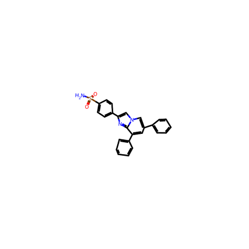 NS(=O)(=O)c1ccc(-c2cn3cc(-c4ccccc4)cc(-c4ccccc4)c3n2)cc1